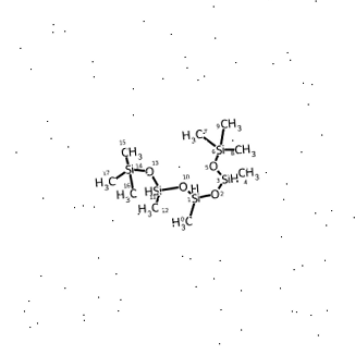 C[SiH](O[SiH](C)O[Si](C)(C)C)O[SiH](C)O[Si](C)(C)C